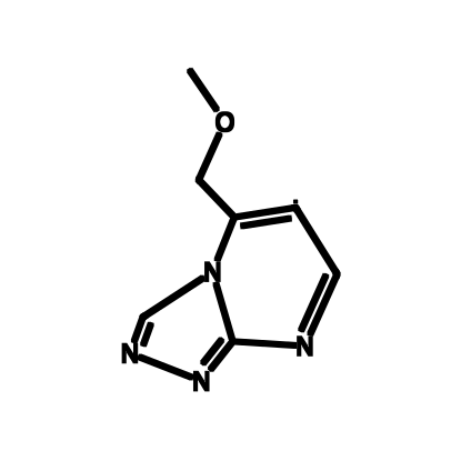 COCc1[c]cnc2nncn12